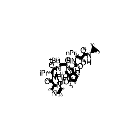 CCCC(NC(=O)[C@@H]1[C@H]2CC[C@@](C)(O)[C@H]2CN1C(=O)[C@@H](NC(=O)[C@H](NC(=O)c1cnccn1)C(C)C)C(C)(C)C)C(O)C(=O)NC1CC1